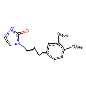 COc1ccc(CCCn2cc[nH]c2=O)cc1OC